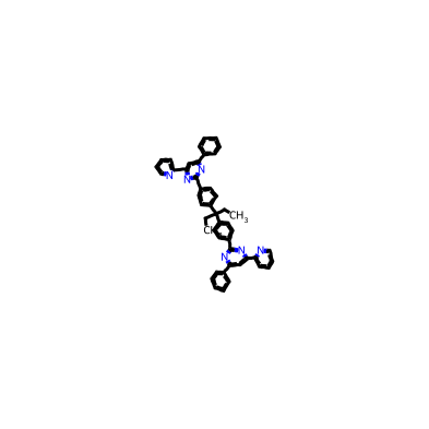 CCC(CC)(c1ccc(-c2nc(-c3ccccc3)cc(-c3ccccn3)n2)cc1)c1ccc(-c2nc(-c3ccccc3)cc(-c3ccccn3)n2)cc1